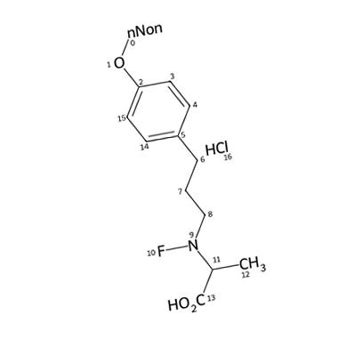 CCCCCCCCCOc1ccc(CCCN(F)C(C)C(=O)O)cc1.Cl